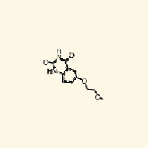 COCCOc1ccc2[nH]c(=O)[nH]c(=O)c2c1